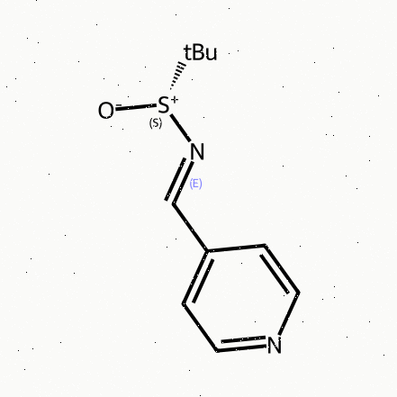 CC(C)(C)[S@@+]([O-])/N=C/c1ccncc1